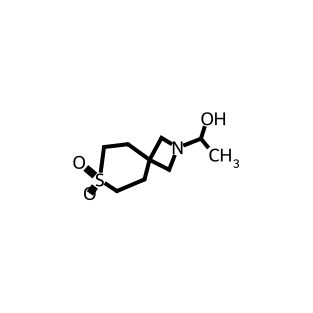 CC(O)N1CC2(CCS(=O)(=O)CC2)C1